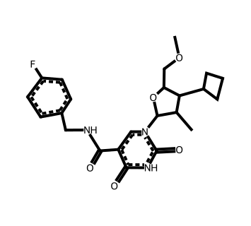 COCC1OC(n2cc(C(=O)NCc3ccc(F)cc3)c(=O)[nH]c2=O)C(C)C1C1CCC1